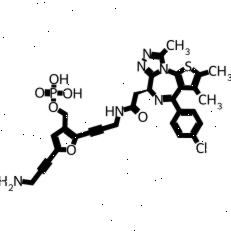 Cc1sc2c(c1C)C(c1ccc(Cl)cc1)=N[C@@H](CC(=O)NCC#Cc1oc(C#CCN)cc1COP(=O)(O)O)c1nnc(C)n1-2